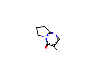 Cc1cnc2n(c1=O)CCC2